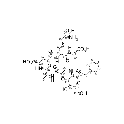 CC(=O)N[C@H]1[C@@H](OCc2ccccc2)O[C@H](CO)[C@@H](O)[C@@H]1O[C@H](C)C(=O)N[C@@H](C)C(=O)N[C@H](CCC(=O)N[C@H](CSC[C@H](N)C(=O)O)C(=O)N[C@H](C)C(=O)O)C(=O)O